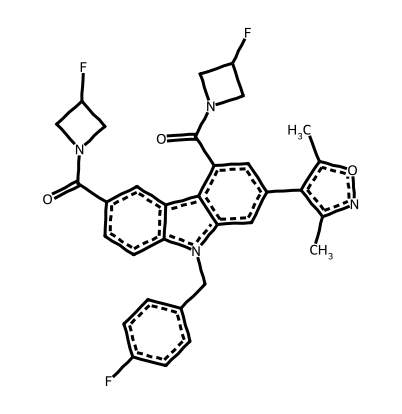 Cc1noc(C)c1-c1cc(C(=O)N2CC(F)C2)c2c3cc(C(=O)N4CC(F)C4)ccc3n(Cc3ccc(F)cc3)c2c1